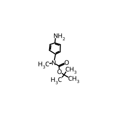 CN(C(=O)OC(C)(C)C)c1ccc(N)cc1